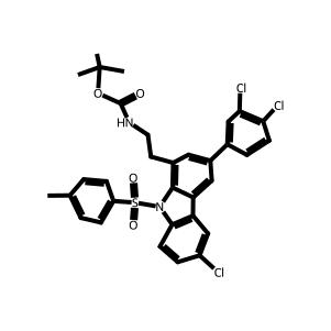 Cc1ccc(S(=O)(=O)n2c3ccc(Cl)cc3c3cc(-c4ccc(Cl)c(Cl)c4)cc(CCNC(=O)OC(C)(C)C)c32)cc1